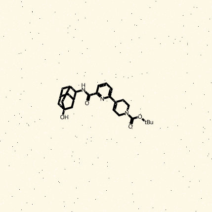 CC(C)(C)OC(=O)N1CC=C(c2cccc(C(=O)NC3C4CC5CC3CC(O)(C5)C4)n2)CC1